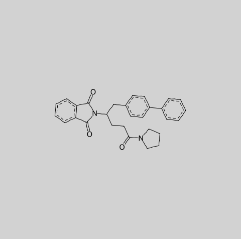 O=C(CCC(Cc1ccc(-c2ccccc2)cc1)N1C(=O)c2ccccc2C1=O)N1CCCC1